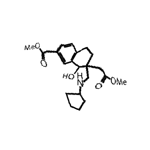 COC(=O)CC1(CNC2CCCC2)CCc2ccc(C(=O)OC)cc2C1O